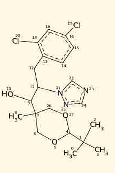 CC(C)(C)C1OCC(C)(C(O)C(Cc2ccc(Cl)cc2Cl)n2cncn2)CO1